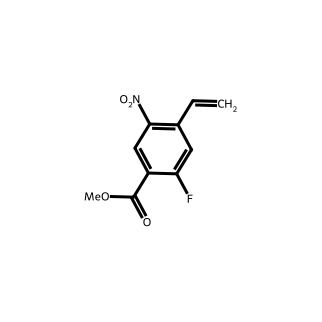 C=Cc1cc(F)c(C(=O)OC)cc1[N+](=O)[O-]